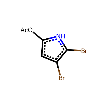 CC(=O)Oc1cc(Br)c(Br)[nH]1